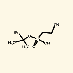 CC(C)C(C)(C)OP(=O)(O)CCC#N